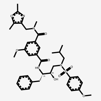 COc1ccc(S(=O)(=O)N(CC(C)C)C[C@@H](O)[C@H](Cc2ccccc2)NC(=O)c2cc(OC)cc(C(=O)N(C)Cc3nc(C)oc3C)c2)cc1